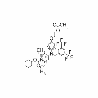 CC[C@@H]1C[C@H](N(Cc2cc(C(F)(F)F)cc(C(F)(F)F)c2)c2ncc(OCCOC(C)=O)cn2)C[C@H](CC)N1C(=O)OC1CCCCC1